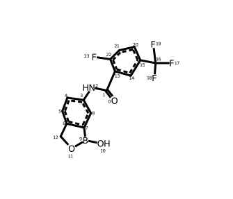 O=C(Nc1ccc2c(c1)B(O)OC2)c1cc(C(F)(F)F)ccc1F